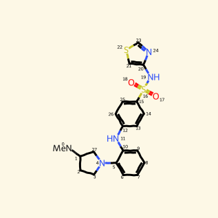 CNC1CCN(c2ccccc2Nc2ccc(S(=O)(=O)Nc3cscn3)cc2)C1